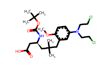 COc1ccc(N(CCCl)CCCl)cc1CC(C)(C)C[C@@H](CC(=O)O)NC(=O)OC(C)(C)C